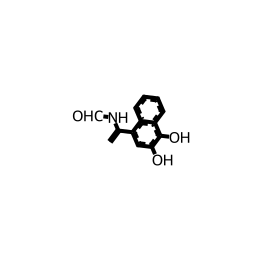 C=C(NC=O)c1cc(O)c(O)c2ccccc12